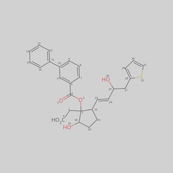 O=C(O)CC1(OC(=O)c2cccc(-c3ccccc3)c2)C(O)CCC1C=CC(O)Cc1cccs1